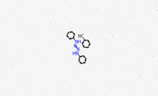 N#Cc1ccccc1.c1ccc(NN=NNc2ccccc2)cc1